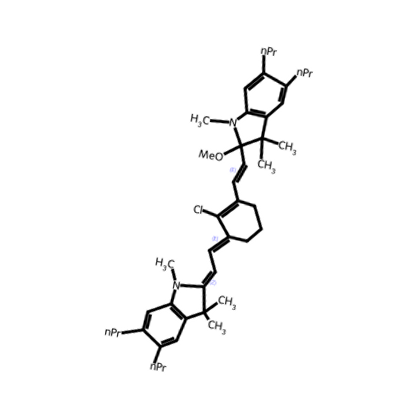 CCCc1cc2c(cc1CCC)C(C)(C)/C(=C/C=C1\CCCC(/C=C/C3(OC)N(C)c4cc(CCC)c(CCC)cc4C3(C)C)=C1Cl)N2C